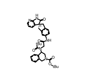 CC(C)(C)OC(=O)N1Cc2ccccc2C(N(CC(=O)Nc2ccc3c(c2)C[C@@]2(C3)C(=O)Nc3ncccc32)C(=O)C(C)(C)C)C1